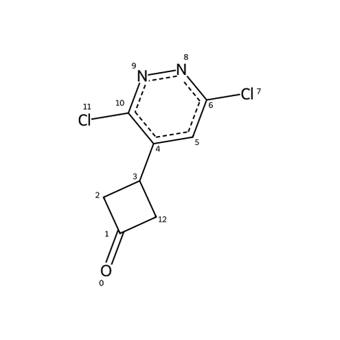 O=C1CC(c2cc(Cl)nnc2Cl)C1